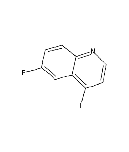 Fc1ccc2nccc(I)c2c1